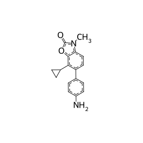 Cn1c(=O)oc2c(C3CC3)c(-c3ccc(N)cc3)ccc21